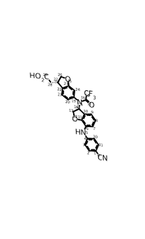 N#Cc1ccc(Nc2cccc3c2OC[C@H]3N(C(=O)C(F)(F)F)c2ccc3c(c2)OC[C@H]3CC(=O)O)cc1